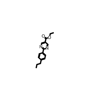 CCCc1ccc(-c2ncc(C(=O)OCC)cn2)cc1